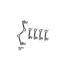 CC(C)(C)OOC(C)(C)C.CC(C)[O-].CC(C)[O-].CC(C)[O-].CC(C)[O-].[Ti+4]